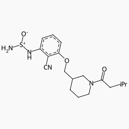 CC(C)CC(=O)N1CCCC(COc2cccc(N[S+](N)[O-])c2C#N)C1